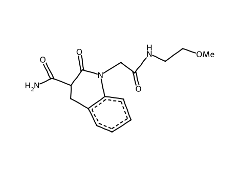 COCCNC(=O)CN1C(=O)C(C(N)=O)Cc2ccccc21